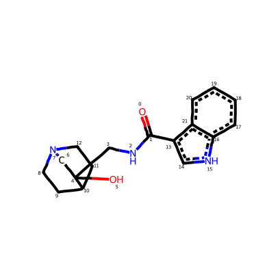 O=C(NCC1(O)CN2CCC1CC2)c1c[nH]c2ccccc12